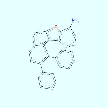 Nc1cccc2c1oc1ccc3ccc(-c4ccccc4)c(-c4ccccc4)c3c12